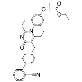 CCCc1c(Cc2ccc(-c3ccccc3C#N)cc2)c(=O)nc(CC)n1-c1ccc(OC(C)(C)C(=O)OCC)cc1